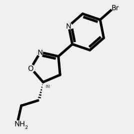 NCC[C@H]1CC(c2ccc(Br)cn2)=NO1